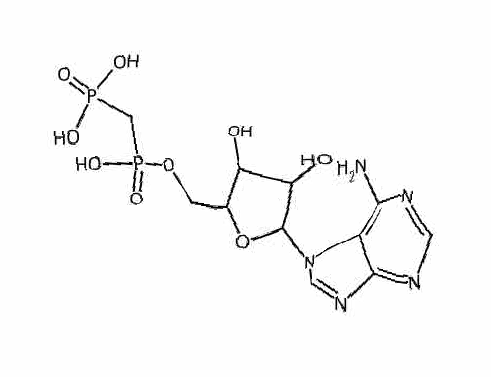 Nc1ncnc2ncn(C3OC(COP(=O)(O)CP(=O)(O)O)C(O)C3O)c12